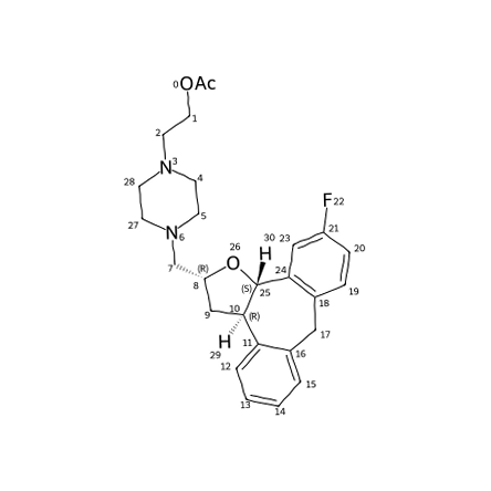 CC(=O)OCCN1CCN(C[C@H]2C[C@@H]3c4ccccc4Cc4ccc(F)cc4[C@H]3O2)CC1